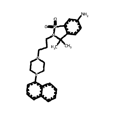 CC1(C)c2ccc(N)cc2S(=O)(=O)N1CCCN1CCN(c2cccc3ccccc23)CC1